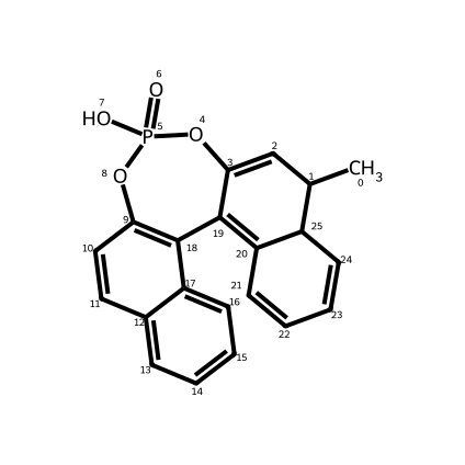 CC1C=C2OP(=O)(O)Oc3ccc4ccccc4c3C2=C2C=CC=CC21